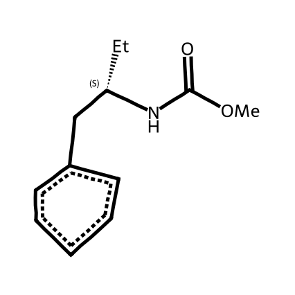 CC[C@@H](Cc1ccccc1)NC(=O)OC